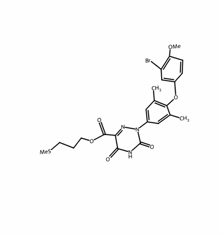 COc1ccc(Oc2c(C)cc(-n3nc(C(=O)OCCCSC)c(=O)[nH]c3=O)cc2C)cc1Br